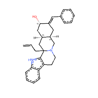 C=CCC12C[C@H]3C[C@H](O)C(=Cc4ccccc4)C[C@H]3CN1CCc1c2[nH]c2ccccc12